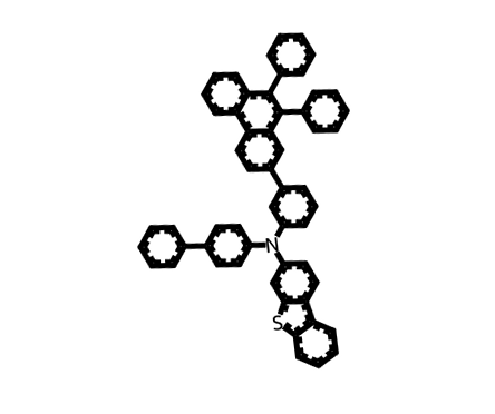 c1ccc(-c2ccc(N(c3cccc(-c4ccc5c(c4)c(-c4ccccc4)c(-c4ccccc4)c4ccccc45)c3)c3ccc4c(c3)sc3ccccc34)cc2)cc1